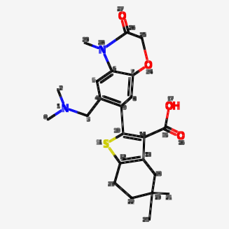 CN(C)Cc1cc2c(cc1-c1sc3c(c1C(=O)O)CC(C)(C)CC3)OCC(=O)N2C